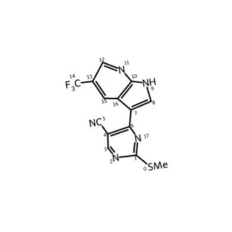 CSc1ncc(C#N)c(-c2c[nH]c3ncc(C(F)(F)F)cc23)n1